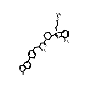 COCCCn1c(C2CCCN(C(=O)CC(N)Cc3ccc(-c4ccc5[nH]ncc5c4)cc3)C2)nc2c(C)cccc21